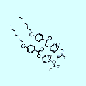 CCCCCCCOc1ccc(C(=O)Oc2ccc(OC(F)F)nc2)cc1.CCCCCCOc1ccc(C(=O)Oc2ccc(OC(F)F)nc2)cc1